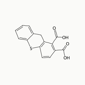 O=C(O)c1ccc2c(c1C(=O)O)Cc1ccccc1S2